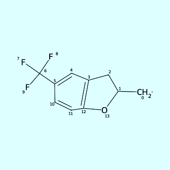 [CH2]C1Cc2cc(C(F)(F)F)ccc2O1